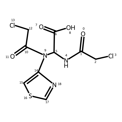 O=C(CCl)NC(C(=O)O)N(C(=O)CCl)c1cscn1